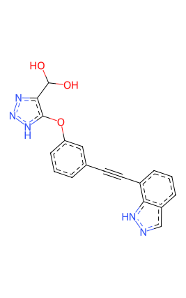 OC(O)c1nn[nH]c1Oc1cccc(C#Cc2cccc3cn[nH]c23)c1